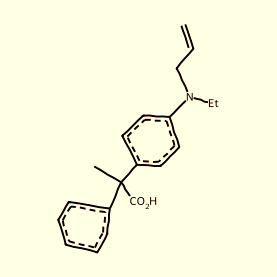 C=CCN(CC)c1ccc(C(C)(C(=O)O)c2ccccc2)cc1